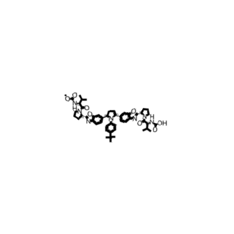 COC(=O)N[C@H](C(=O)N1CCC[C@H]1c1nc2ccc([C@H]3CC[C@H](c4ccc5nc([C@@H]6CCCN6C(=O)[C@@H](NC(=O)O)C(C)C)oc5c4)N3c3ccc(C(C)(C)C)cc3)cc2o1)C(C)C